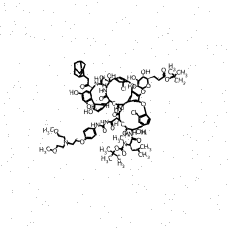 COCCN(CCOC)CCOc1ccc(NC(=O)NC(=O)C[C@@H]2CC(=O)[C@H](NC(=O)[C@@H](CC(C)C)N(C)C(=O)OC(C)(C)C)[C@H](O)c3ccc(c(Cl)c3)Oc3cc4cc(c3O[C@@H]3O[C@H](CCC(=O)OC(C)(C)C)[C@@H](O)[C@H](O)[C@H]3O)Oc3ccc(cc3Cl)[C@@H](O)[C@@H]3NC(=O)[C@H](CC(=O)[C@@H]4NC2=O)c2ccc(O)c(c2)-c2c(O)cc(O)cc2[C@@H](C(=O)CC2C4CC5CC(C4)CC2C5)NC3=O)cc1